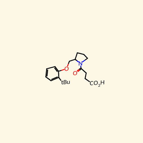 CC(C)(C)c1ccccc1OCC1CCCN1C(=O)CCC(=O)O